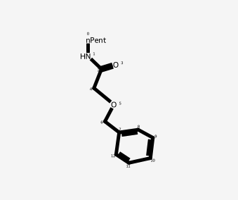 CCCCCNC(=O)COCc1ccccc1